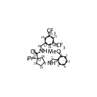 COc1ccccc1CN[C@@H]1CC[C@@](C(=O)NCc2cc(C(F)(F)F)cc(C(F)(F)F)c2)(C(C)C)C1